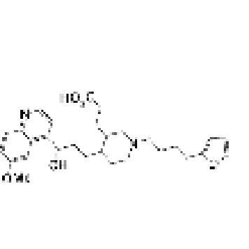 COc1ccc2nccc([C@@H](O)CCC3CCN(CCCCc4ccco4)CC3CCC(=O)O)c2c1